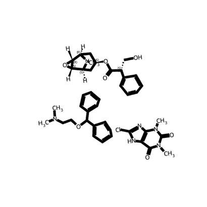 CN(C)CCOC(c1ccccc1)c1ccccc1.CN1[C@@H]2C[C@@H](OC(=O)[C@H](CO)c3ccccc3)C[C@H]1[C@@H]1O[C@@H]12.Cn1c(=O)c2[nH]c(Cl)nc2n(C)c1=O